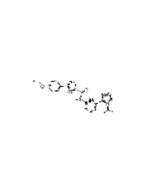 CCOc1ccc(-c2ccc(C(=O)Nc3cccc(-c4nncn4C(C)C)n3)[nH]2)cc1